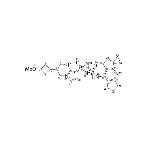 COC1CC(C2COc3c(S(N)(=O)=NC(=O)Nc4c5c(nc6c4CCC64CC4)CCC5)cnn3C2)C1